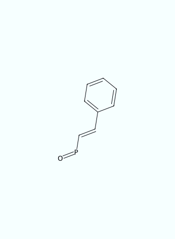 O=PC=Cc1ccccc1